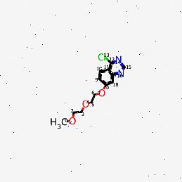 COCCOCCOc1ccc2c(Cl)ncnc2c1